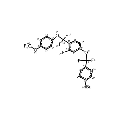 CCCCc1ccc(C(F)(F)Oc2ccc(C(F)(F)Oc3ccc(OC(F)(F)F)cc3)c(F)c2)nc1